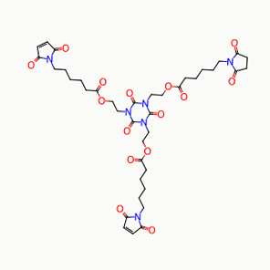 O=C(CCCCCN1C(=O)C=CC1=O)OCCn1c(=O)n(CCOC(=O)CCCCCN2C(=O)C=CC2=O)c(=O)n(CCOC(=O)CCCCCN2C(=O)CCC2=O)c1=O